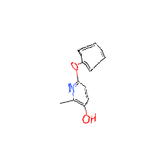 Cc1nc(Oc2ccccc2)ccc1O